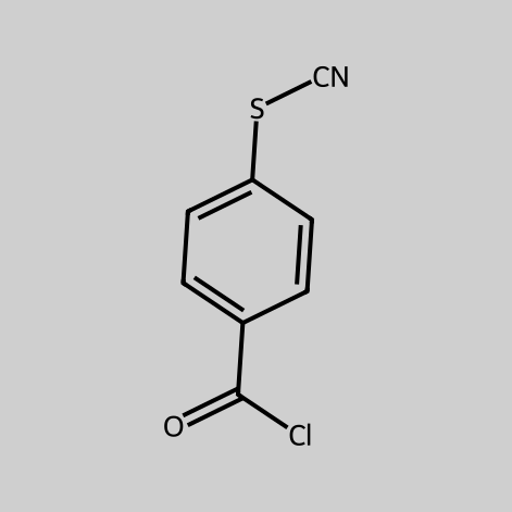 N#CSc1ccc(C(=O)Cl)cc1